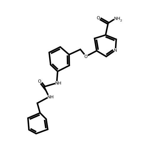 NC(=O)c1cncc(OCc2cccc(NC(=O)NCc3ccccc3)c2)c1